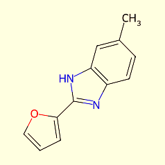 Cc1ccc2nc(-c3ccco3)[nH]c2c1